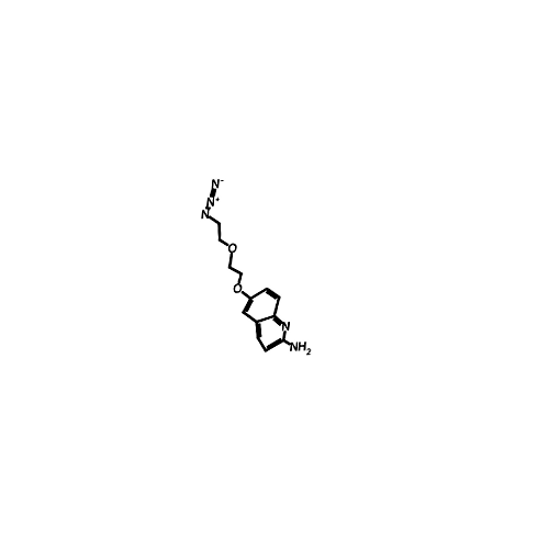 [N-]=[N+]=NCCOCCOc1ccc2nc(N)ccc2c1